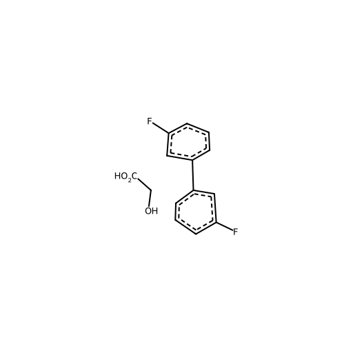 Fc1cccc(-c2cccc(F)c2)c1.O=C(O)CO